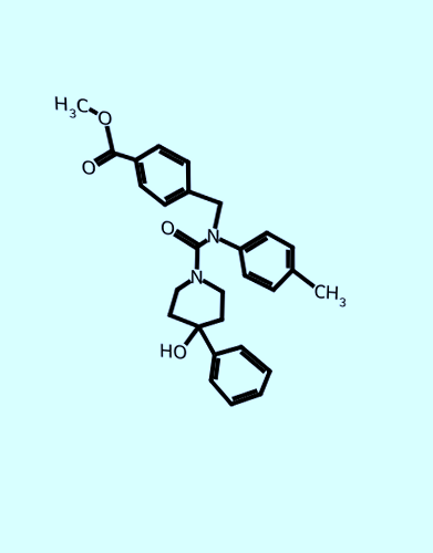 COC(=O)c1ccc(CN(C(=O)N2CCC(O)(c3ccccc3)CC2)c2ccc(C)cc2)cc1